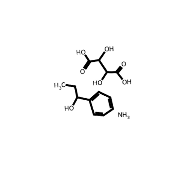 CCC(O)c1ccccc1.N.O=C(O)C(O)C(O)C(=O)O